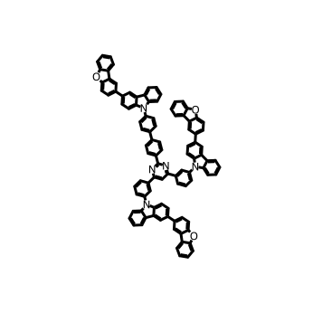 c1cc(-c2cc(-c3cccc(-n4c5ccccc5c5cc(-c6ccc7oc8ccccc8c7c6)ccc54)c3)nc(-c3ccc(-c4ccc(-n5c6ccccc6c6cc(-c7ccc8oc9ccccc9c8c7)ccc65)cc4)cc3)n2)cc(-n2c3ccccc3c3cc(-c4ccc5oc6ccccc6c5c4)ccc32)c1